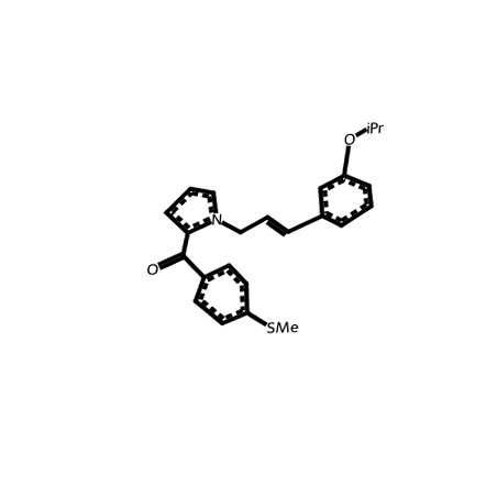 CSc1ccc(C(=O)c2cccn2C/C=C/c2cccc(OC(C)C)c2)cc1